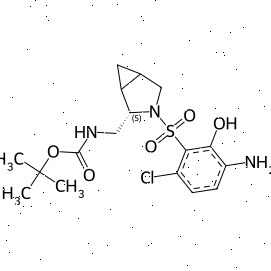 CC(C)(C)OC(=O)NC[C@@H]1C2CC2CN1S(=O)(=O)c1c(Cl)ccc(N)c1O